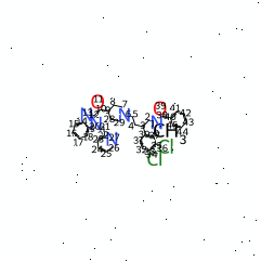 CN(CC(CCN1CCC(C(=O)c2nc3ccccc3n2Cc2ccccn2)CC1)c1ccc(Cl)c(Cl)c1)C(=O)c1ccccc1